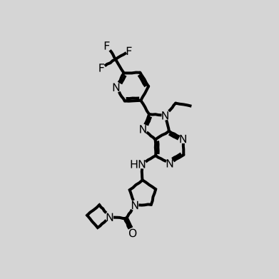 CCn1c(-c2ccc(C(F)(F)F)nc2)nc2c(NC3CCN(C(=O)N4CCC4)C3)ncnc21